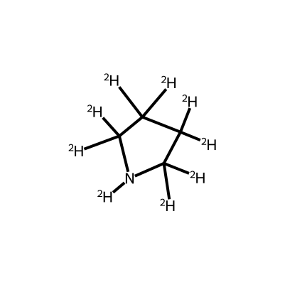 [2H]N1C([2H])([2H])C([2H])([2H])C([2H])([2H])C1([2H])[2H]